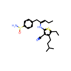 CC/C=C(/Cc1ccc([S+](N)[O-])cc1)Nc1sc(CC)c(CCC(C)C)c1C#N